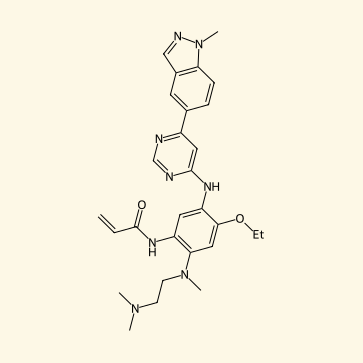 C=CC(=O)Nc1cc(Nc2cc(-c3ccc4c(cnn4C)c3)ncn2)c(OCC)cc1N(C)CCN(C)C